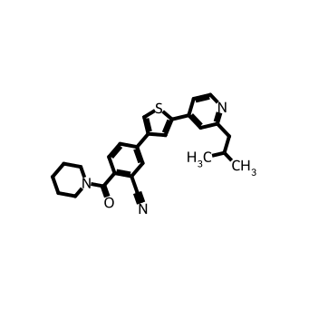 CC(C)Cc1cc(-c2cc(-c3ccc(C(=O)N4CCCCC4)c(C#N)c3)cs2)ccn1